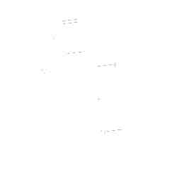 COc1ccccc1C(OCCN(C(C)C)C(C)C)C(C)C